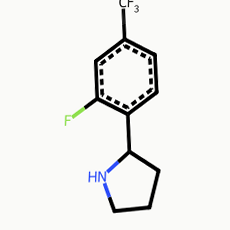 Fc1cc(C(F)(F)F)ccc1C1CCCN1